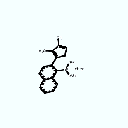 CCC[CH2][Ti+2]([O]C)[c]1c(C2=C(C)C(C)=CC2)ccc2ccccc12.[Cl-].[Cl-]